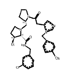 CC[C@H]1CCN(C[C@@H]2CCCN2C(=O)Cc2cncn2Cc2ccc(C#N)cc2)[C@@H]1C(=O)NCc1cccc(Cl)c1